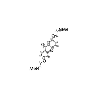 CNCCOc1ccc2c(=O)c3cc(OCCNC)ccc3oc2c1